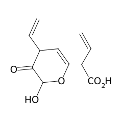 C=CC1C=COC(O)C1=O.C=CCC(=O)O